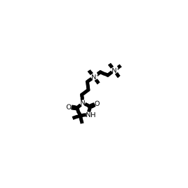 CC1(C)NC(=O)N(CCC[N+](C)(C)CC[N+](C)(C)C)C1=O